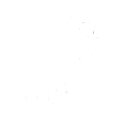 O=C(Cc1ccccc1)N1CCC[C@H]1c1nc2cc(-c3ccc(-c4ccc5[nH]c([C@@H]6CCCN6C(=O)Cc6ccccc6)nc5c4)cc3)ccc2[nH]1